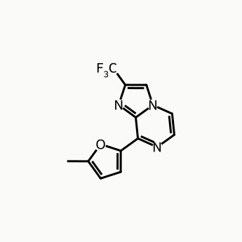 Cc1ccc(-c2nccn3cc(C(F)(F)F)nc23)o1